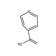 C=C(C#N)c1ccncc1